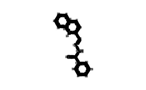 O=C(NN=Cc1ccc2ccccc2n1)c1ccccc1